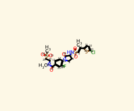 C/C(=C\S(=O)(=O)NC1CCN(c2ccc(C(=O)N(C)CCS(C)(=O)=O)cc2F)C1=O)c1ccc(Cl)s1